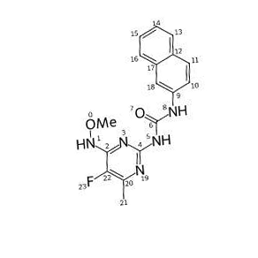 CONc1nc(NC(=O)Nc2ccc3ccccc3c2)nc(C)c1F